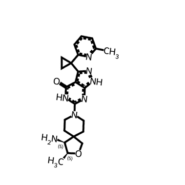 Cc1cccc(C2(c3n[nH]c4nc(N5CCC6(CC5)CO[C@@H](C)[C@H]6N)[nH]c(=O)c34)CC2)n1